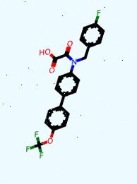 O=C(O)C(=O)N(Cc1ccc(F)cc1)c1ccc(-c2ccc(OC(F)(F)F)cc2)cc1